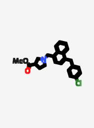 COC(=O)C1CCN(Cc2ccc(Cc3ccc(Cl)cc3)c3ccccc23)C1